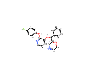 Fc1ccc(Oc2ncccc2OC(c2ccccc2)[C@@H]2CNCCO2)cc1